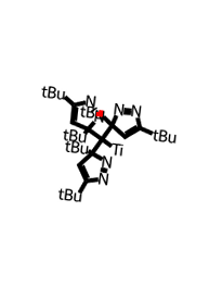 CC(C)(C)C1=CC(C(C)(C)C)([C]([Ti])(C2(C(C)(C)C)C=C(C(C)(C)C)N=N2)C2(C(C)(C)C)C=C(C(C)(C)C)N=N2)N=N1